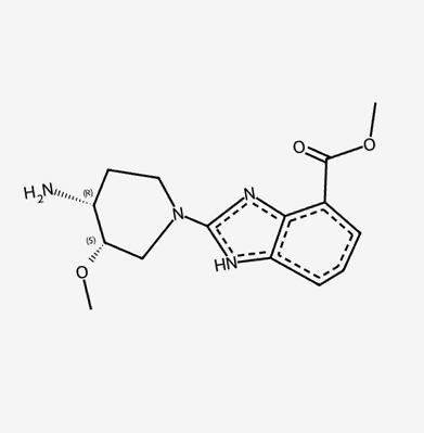 COC(=O)c1cccc2[nH]c(N3CC[C@@H](N)[C@@H](OC)C3)nc12